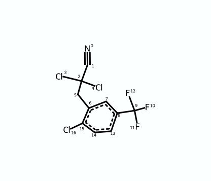 N#CC(Cl)(Cl)Cc1cc(C(F)(F)F)ccc1Cl